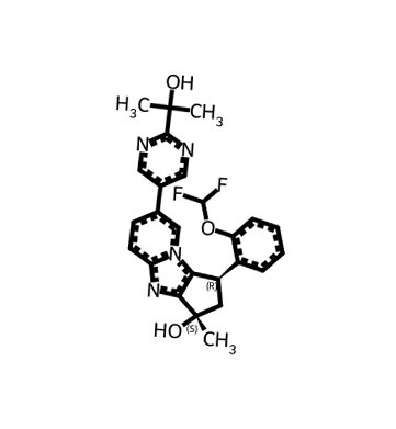 CC(C)(O)c1ncc(-c2ccc3nc4c(n3c2)[C@@H](c2ccccc2OC(F)F)C[C@]4(C)O)cn1